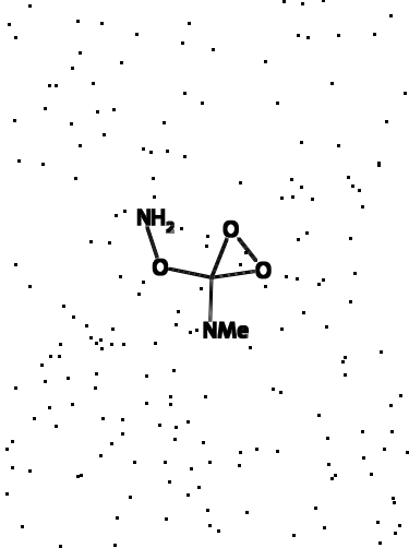 CNC1(ON)OO1